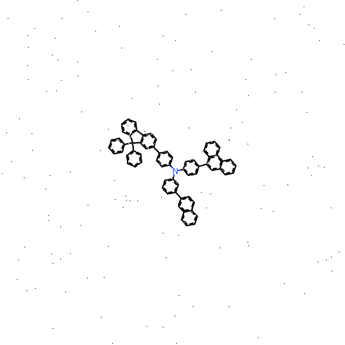 c1ccc(C2(c3ccccc3)c3ccccc3-c3ccc(-c4ccc(N(c5ccc(-c6cc7ccccc7c7ccccc67)cc5)c5cccc(-c6ccc7ccccc7c6)c5)cc4)cc32)cc1